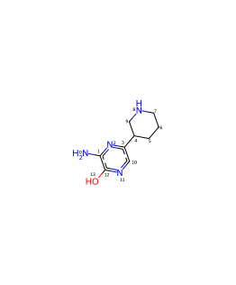 Nc1nc(C2CCCNC2)cnc1O